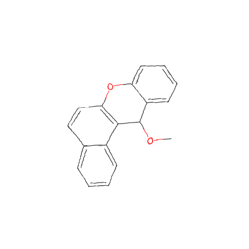 COC1c2ccccc2Oc2ccc3ccccc3c21